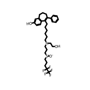 [O-][S+](CCCN(CCO)CCCCCCC1=C(c2ccccc2)CCCc2cc(O)ccc21)CCCC(F)(F)C(F)(F)F